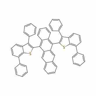 c1ccc(-c2c(-c3c4ccccc4c(-c4sc5c(-c6ccccc6)cccc5c4-c4ccccc4)c4cc5ccccc5cc34)sc3c(-c4ccccc4)cccc23)cc1